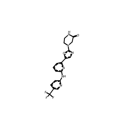 O=C1CN(c2ncc(-c3cccc(Nc4ccc(C(F)(F)F)cn4)n3)o2)CCN1